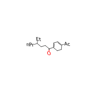 CCCC(CC)CCC(=O)C1=CC=C(C(C)=O)CC1